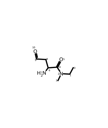 CCN(C)C(=O)C(N)CC=O